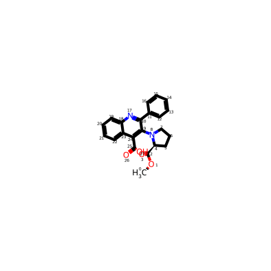 COC(=O)[C@@H]1CCCN1c1c(-c2ccccc2)nc2ccccc2c1C(=O)O